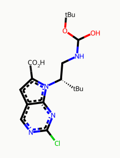 CC(C)(C)OC(O)NC[C@@H](n1c(C(=O)O)cc2cnc(Cl)nc21)C(C)(C)C